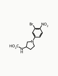 O=C(O)NC1CCN(c2ccc([N+](=O)[O-])c(Br)c2)C1